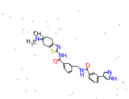 CN(C)[C@H]1CCc2nc(NC(=O)c3cccc(CNC(=O)c4cccc(-c5cn[nH]c5)c4)c3)sc2C1